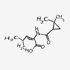 CC(C)C=C(NC(=O)C1CC1(C)C)C(=O)O